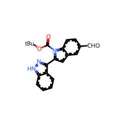 CC(C)(C)OC(=O)n1c(-c2n[nH]c3ccccc23)cc2cc(C=O)ccc21